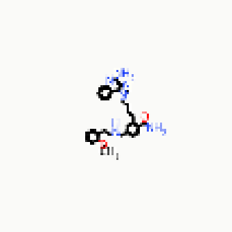 COc1ccccc1CCNCc1ccc(C(N)=O)c(CCCCn2cnc3c(N)nc4ccccc4c32)c1